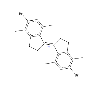 Cc1cc(Br)c(C)c2c1/C(=C1\CCc3c(C)c(Br)cc(C)c31)CC2